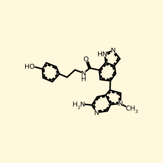 Cn1cc(-c2cc(C(=O)NCCc3ccc(O)cc3)c3[nH]ncc3c2)c2cc(N)ncc21